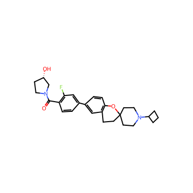 O=C(c1ccc(-c2ccc3c(c2)CCC2(CCN(C4CCC4)CC2)O3)cc1F)N1CC[C@H](O)C1